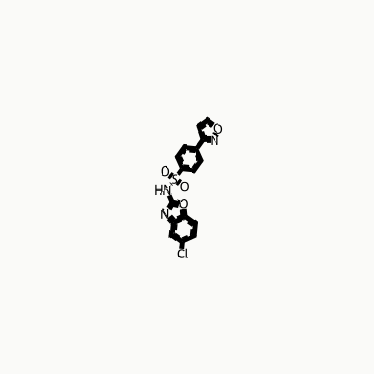 O=S(=O)(Nc1nc2cc(Cl)ccc2o1)c1ccc(-c2ccon2)cc1